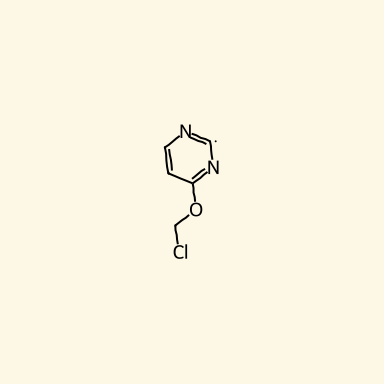 ClCOc1ccn[c]n1